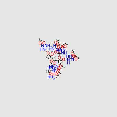 CC(C)(C)OC(=O)/N=C(/NCCOc1cccc(-c2ccc(-c3cccc(OCCN/C(N)=N/C(=O)OC(C)(C)C)c3OCCN/C(=N/C(=O)OC(C)(C)C)NC(=O)OC(C)(C)C)c(OCCN/C(=N/C(=O)OC(C)(C)C)NC(=O)OC(C)(C)C)c2OCCN/C(BOCN)=N/C(=O)OC(C)(C)C)c1OCCN/C(=N/C(=O)OC(C)(C)C)NC(=O)OC(C)(C)C)NC(=O)OC(C)(C)C